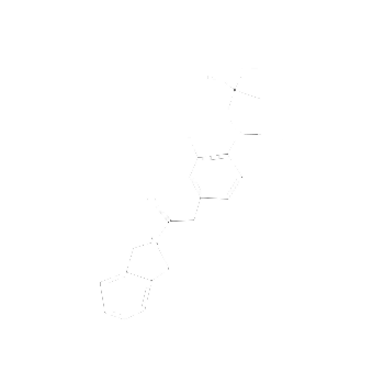 CB(OC(C)(C)C(C)(C)C)c1ccc(CC(=O)N2Cc3ccccc3C2)cc1F